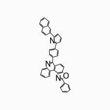 c1ccc(-c2nc3c(ccc4c(-c5ccc(-c6cccc(-c7ccc8ccccc8c7)n6)cc5)nc5ccccc5c43)o2)cc1